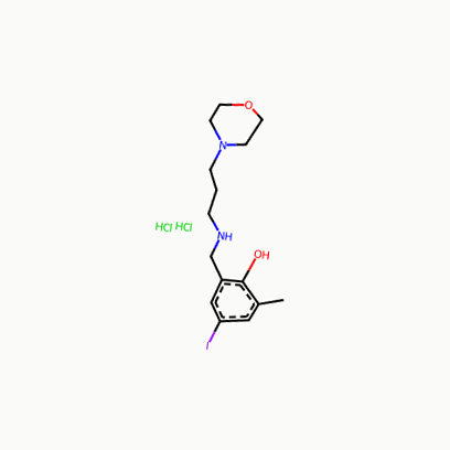 Cc1cc(I)cc(CNCCCN2CCOCC2)c1O.Cl.Cl